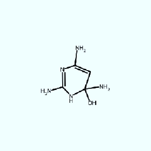 NC1=CC(N)(O)NC(N)=N1